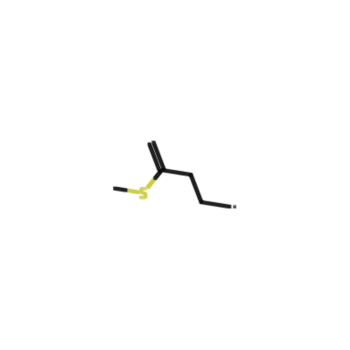 [CH2]CCC(=C)SC